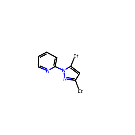 CCc1cc(CC)n(-c2ccccn2)n1